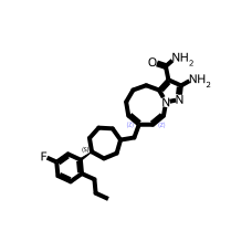 CCCc1ccc(F)cc1[C@H]1CCCC(CC2=C/CCCc3c(C(N)=O)c(N)nn3/C=C\2)CC1